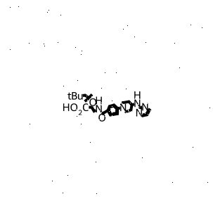 CC(C)(C)CC(C)(C)OC(CNC(=O)c1ccc(N2CCC(Nc3ncccn3)CC2)cc1)C(=O)O